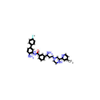 Nc1ccc(-c2ccc(F)cc2)cc1NC(=O)c1cccc(C(N)CCN2CCNC(c3cc(C(F)(F)F)ccn3)C2)c1